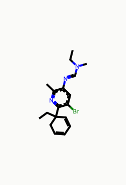 CCN(C)C=Nc1cc(Br)c(C2(CC)C=CC=CC2)nc1C